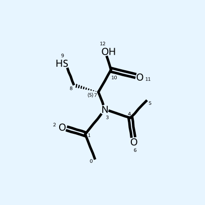 CC(=O)N(C(C)=O)[C@H](CS)C(=O)O